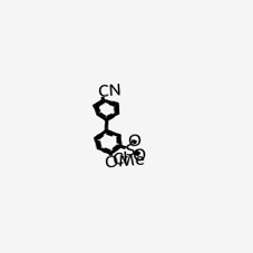 COc1ccc(-c2ccc(C#N)cc2)cc1S(=O)(=O)Cl